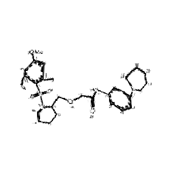 COc1cc(C)c(S(=O)(=O)N2CCCCC2COCC(=O)Nc2cccc(N3CCCCC3)c2)c(C)c1